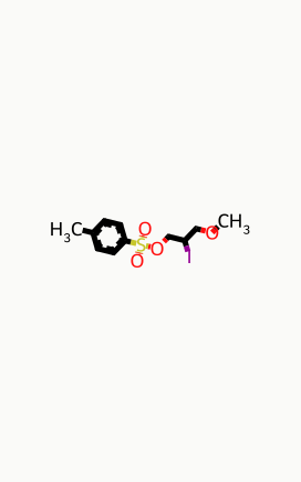 COCC(I)COS(=O)(=O)c1ccc(C)cc1